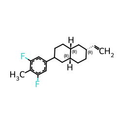 C=C[C@@H]1CC[C@@H]2CC(c3cc(F)c(C)c(F)c3)CC[C@@H]2C1